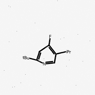 CC(C)c1cnc(C(C)(C)C)cc1F